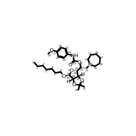 CCCCCCCO[C@H]1O[C@H]([C@@H](CN2CCCCCC2)OC(=O)Nc2ccc(OC)cc2)[C@@H]2OC(C)(C)O[C@H]12